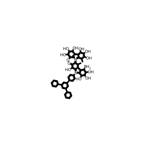 Bc1c(O)c(O)c(O)c2c1c1c(C)c3c(ooc4c(O)c(O)c(O)c5c6c(O)c(O)c(O)c(C)c6n3c45)c(O)c1n2-c1ccc(-c2cc(-c3ccccc3)cc(-c3ccccc3)c2)cc1